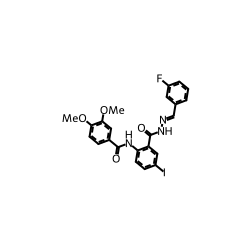 COc1ccc(C(=O)Nc2ccc(I)cc2C(=O)NN=Cc2cccc(F)c2)cc1OC